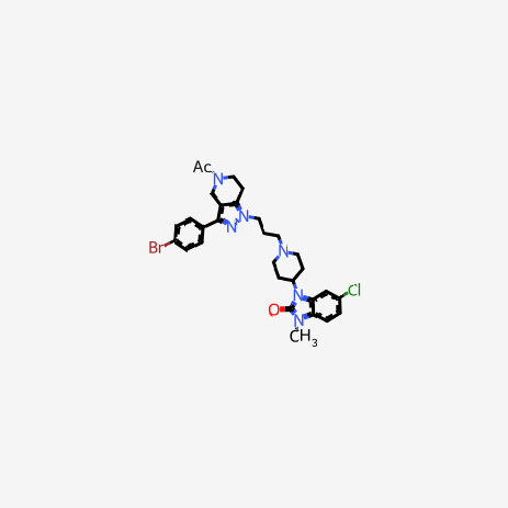 CC(=O)N1CCc2c(c(-c3ccc(Br)cc3)nn2CCCN2CCC(n3c(=O)n(C)c4ccc(Cl)cc43)CC2)C1